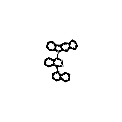 c1ccc2cc3c(cc2c1)c1ccccc1n3-c1nnc(-c2cccc3ccccc23)c2ccccc12